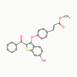 COC(=O)/C=C/c1ccc(Oc2c(C(=O)c3ccccc3)sc3cc(O)ccc23)cc1